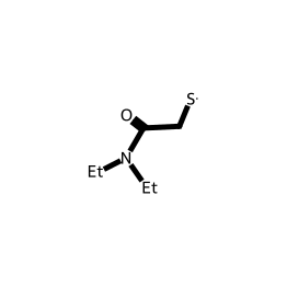 CCN(CC)C(=O)C[S]